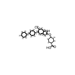 O=C(O)[C@H]1CC[C@@H](Oc2nc3nc(-c4ccc(-c5ccccc5)cc4)c(Cl)cc3[nH]2)CC1